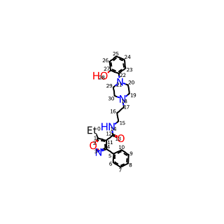 CCc1onc(-c2ccccc2)c1C(=O)NCCCN1CCN(c2ccccc2O)CC1